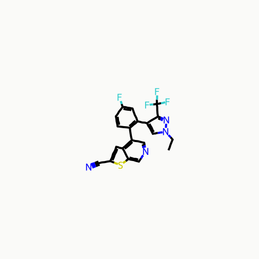 CCn1cc(-c2cc(F)ccc2-c2cncc3sc(C#N)cc23)c(C(F)(F)F)n1